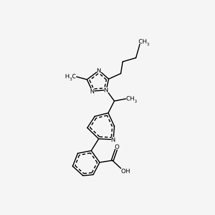 CCCCc1nc(C)nn1C(C)c1ccc(-c2ccccc2C(=O)O)nc1